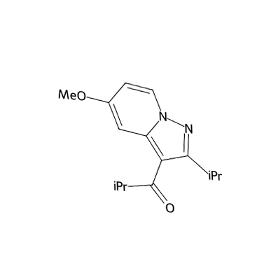 COc1ccn2nc(C(C)C)c(C(=O)C(C)C)c2c1